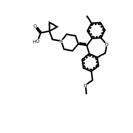 COCc1ccc2c(c1)COc1ccc(C)cc1C2=C1CCN(CC2(C(=O)O)CC2)CC1